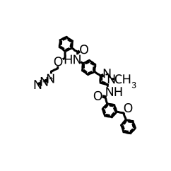 Cn1nc(-c2ccc(NC(=O)c3ccccc3COCCN=[N+]=[N-])cc2)cc1NC(=O)c1cccc(C(=O)c2ccccc2)c1